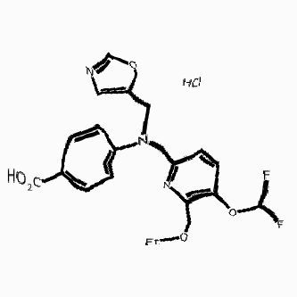 CCOc1nc(N(Cc2cnco2)c2ccc(C(=O)O)cc2)ccc1OC(F)F.Cl